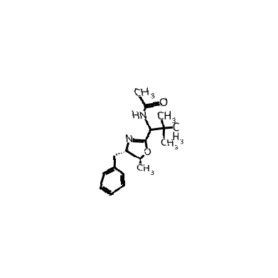 CC(=O)NC(C1=N[C@@H](Cc2ccccc2)[C@H](C)O1)C(C)(C)C